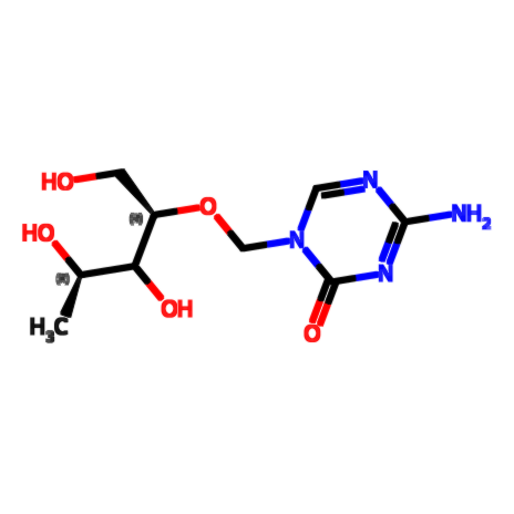 C[C@@H](O)C(O)[C@@H](CO)OCn1cnc(N)nc1=O